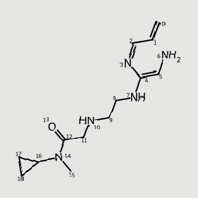 C=C/C=N\C(=C/N)NCCNCC(=O)N(C)C1CC1